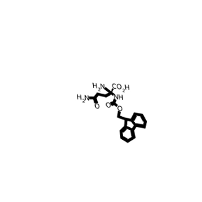 NC(=O)CC[C@](N)(NC(=O)OCC1c2ccccc2-c2ccccc21)C(=O)O